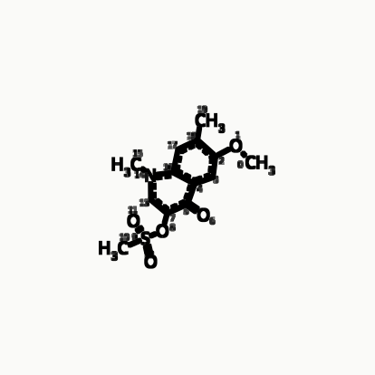 COc1cc2c(=O)c(OS(C)(=O)=O)cn(C)c2cc1C